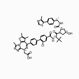 Cc1ncsc1-c1ccc([C@H](C)NC(=O)[C@@H]2C[C@@H](O)CN2C(=O)[C@@H](NC(=O)c2ccc(-c3ccc(C4=N[C@@H](CC(=O)O)c5nnc(C)n5-c5sc(C)c(C)c54)cc3)c(Cl)c2)C(C)(C)C)cc1